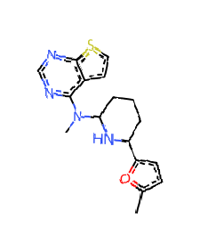 Cc1ccc(C2CCCC(N(C)c3ncnc4sccc34)N2)o1